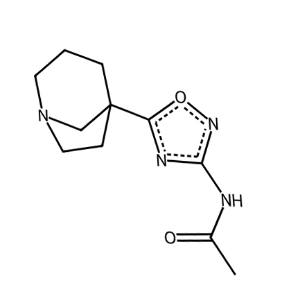 CC(=O)Nc1noc(C23CCCN(CC2)C3)n1